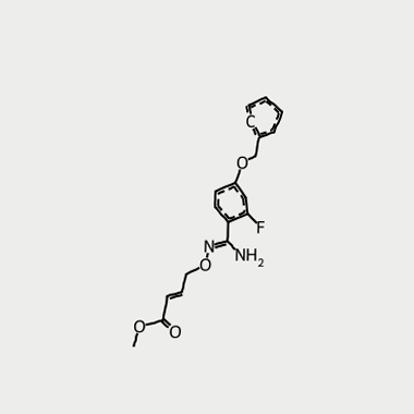 COC(=O)/C=C/CO/N=C(\N)c1ccc(OCc2ccccc2)cc1F